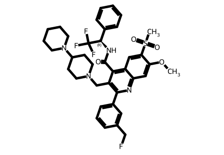 COc1cc2nc(-c3cccc(CF)c3)c(CN3CCC(N4CCCCC4)CC3)c(C(=O)N[C@H](c3ccccc3)C(F)(F)F)c2cc1S(C)(=O)=O